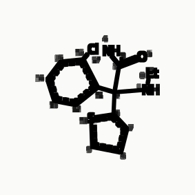 CCNC(C(N)=O)(c1cccs1)c1ccccc1Cl